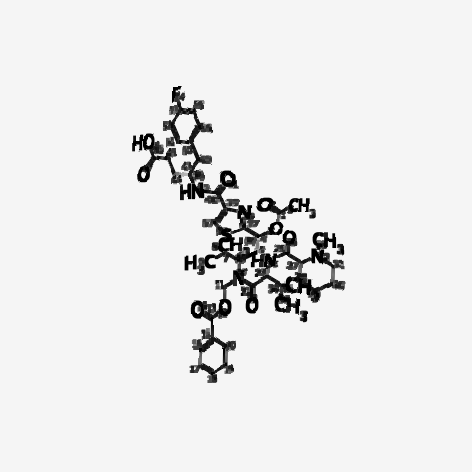 CC(=O)O[C@H](C[C@H](C(C)C)N(COC(=O)c1ccccc1)C(=O)C(NC(=O)C1CCCCN1C)C(C)C)c1nc(C(=O)N[C@H](CCC(=O)O)Cc2ccc(F)cc2)cs1